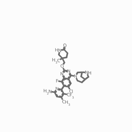 Cc1cc(N)nc(-c2c(Cl)cc3c(N4CCC5CNC(C5)C4)nc(OCC4(C)CCC(=O)NC4)nc3c2F)c1C(F)(F)F